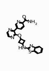 NC(=O)c1ccc(-c2nccnc2OC2CC(Nc3nc4ccccc4s3)C2)cn1